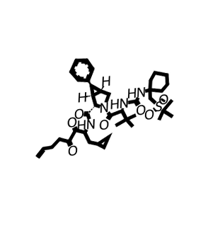 C=CCCC(=O)C(=O)C(CC1CC1)NC(=O)[C@@H]1[C@@H]2[C@H](CN1C(=O)[C@@H](NC(=O)NC1(CS(=O)(=O)C(C)(C)C)CCCCC1)C(C)(C)C)[C@@H]2c1ccccc1